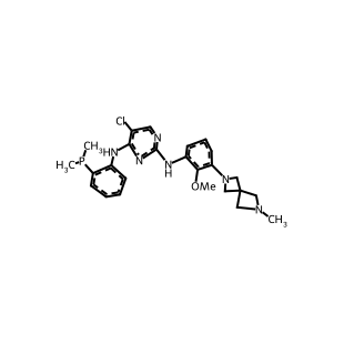 COc1c(Nc2ncc(Cl)c(Nc3ccccc3P(C)C)n2)cccc1N1CC2(CN(C)C2)C1